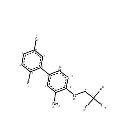 Nc1cc(-c2cc(Cl)ccc2F)nnc1OCC(F)(F)F